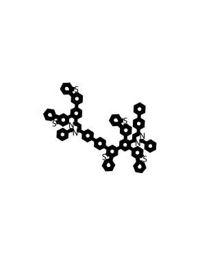 c1ccc(-c2ccc(-c3cc(-c4c(-c5ccc6sc7ccccc7c6c5)cc(-c5cc(-c6ccc(-c7ccc(-c8cc(-c9ccc(-c%10ccc%11sc%12ccccc%12c%11c%10)cc9-c9ccc%10sc%11ccccc%11c%10c9)nc(-c9ccccc9)n8)cc7)cc6)c6sc7ccccc7c6c5)cc4-c4ccc5sc6ccccc6c5c4)nc(-c4ccccc4)n3)cc2)cc1